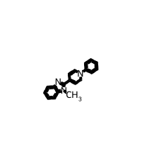 Cn1c(C2=CCN(c3ccccc3)C=C2)nc2ccccc21